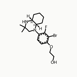 CC1(C)CN(c2ccc(OCCO)c(Br)c2F)[C@H]2CCCC[C@H]2N1